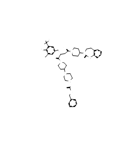 Nc1c(Cl)cc(C[C@@H](CC(=O)N2CCC(N3CCc4ccccc4NC3=O)CC2)C(=O)N2CCC(N3CCN(OC(=O)OCc4ccccc4)CC3)CC2)cc1C(F)(F)F